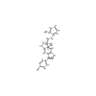 Fc1ccc(-n2ncc3c2C=C2CC[C@]4(CCc5ccccc5F)O[C@]24C3)cc1